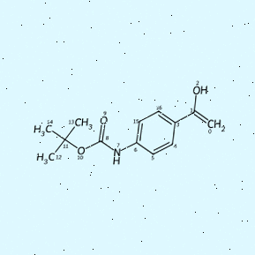 C=C(O)c1ccc(NC(=O)OC(C)(C)C)cc1